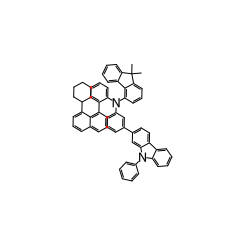 CC1(C)c2ccccc2-c2c(N(c3cccc(-c4ccc5c6ccccc6n(-c6ccccc6)c5c4)c3)c3ccccc3-c3cccc4cccc(C5CCCCC5)c34)cccc21